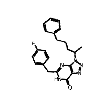 CC(CCCc1ccccc1)n1nnc2c(=O)[nH]c(Cc3ccc(F)cc3)nc21